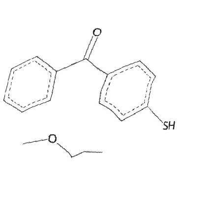 CCOC.O=C(c1ccccc1)c1ccc(S)cc1